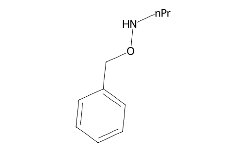 CCCNOCc1ccccc1